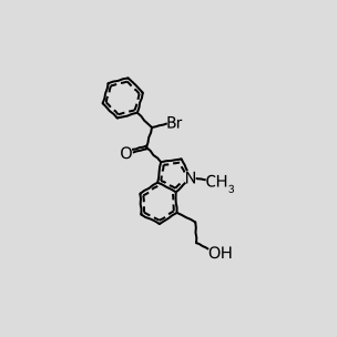 Cn1cc(C(=O)C(Br)c2ccccc2)c2cccc(CCO)c21